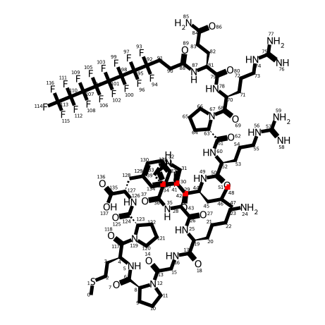 CSCC[C@H](NC(=O)[C@@H]1CCCN1C(=O)CNC(=O)[C@H](CCCCN)NC(=O)[C@H](Cc1c[nH]cn1)NC(=O)[C@H](CO)NC(=O)[C@H](CC(C)C)NC(=O)[C@H](CCCNC(=N)N)NC(=O)[C@@H]1CCCN1C(=O)[C@H](CCCNC(=N)N)NC(=O)[C@H](CCC(N)=O)NC(=O)CCC(F)(F)C(F)(F)C(F)(F)C(F)(F)C(F)(F)C(F)(F)C(F)(F)C(F)(F)F)C(=O)N1CCC[C@H]1C(=O)N[C@@H](Cc1ccccc1)C(=O)O